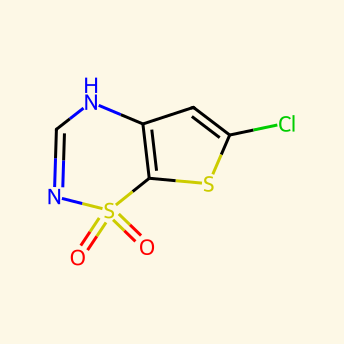 O=S1(=O)N=CNc2cc(Cl)sc21